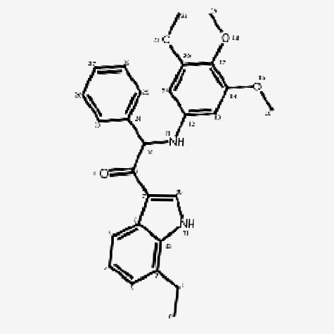 CCc1cccc2c(C(=O)C(Nc3cc(OC)c(OC)c(OC)c3)c3ccccc3)c[nH]c12